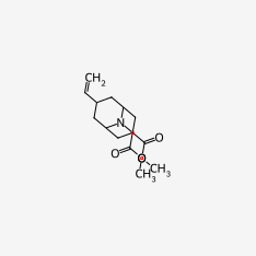 C=CC1CC2CC(C(=O)OC)CC(C1)N2CC(=O)OC